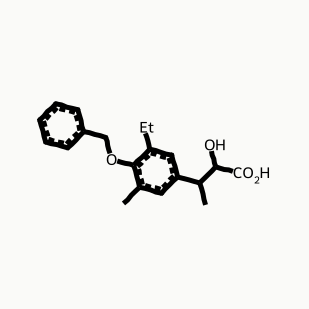 CCc1cc(C(C)C(O)C(=O)O)cc(C)c1OCc1ccccc1